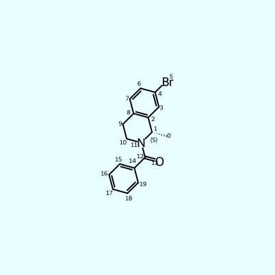 C[C@H]1c2cc(Br)ccc2CCN1C(=O)c1ccccc1